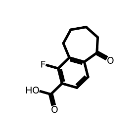 O=C(O)c1ccc2c(c1F)CCCCC2=O